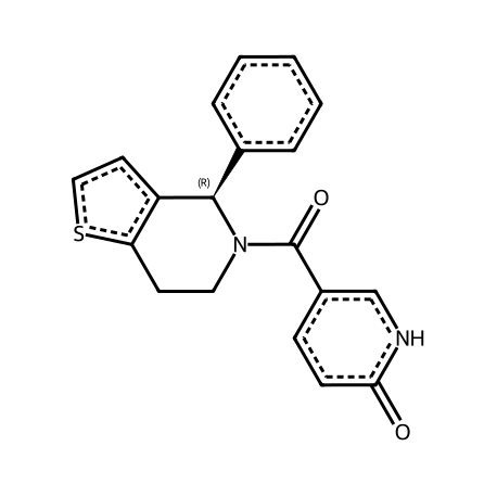 O=C(c1ccc(=O)[nH]c1)N1CCc2sccc2[C@H]1c1ccccc1